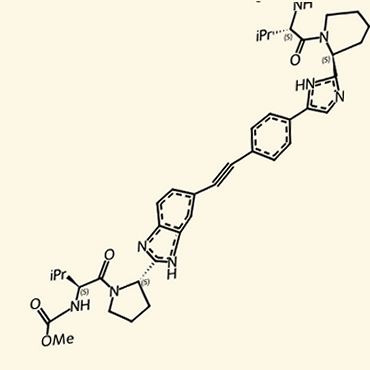 COC(=O)N[C@H](C(=O)N1CCCC[C@H]1c1ncc(-c2ccc(C#Cc3ccc4nc([C@@H]5CCCN5C(=O)[C@@H](NC(=O)OC)C(C)C)[nH]c4c3)cc2)[nH]1)C(C)C